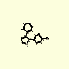 Brc1ccc(-n2nncc2-c2ccccc2)cc1